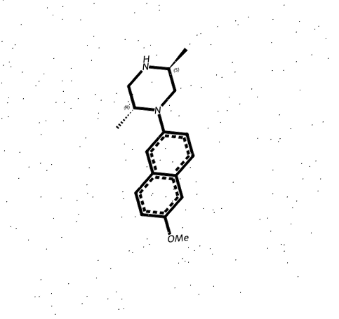 COc1ccc2cc(N3C[C@H](C)NC[C@H]3C)ccc2c1